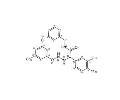 O=C(NCc1ccccc1)C(NNOc1cc(Cl)cc(Cl)c1)c1ccc(F)c(F)c1